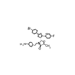 C[C@@H]1O[C@@H](c2cn(-c3ccc(Br)cc3)nc2-c2ccc(F)cn2)N(CCc2ccc(N)cc2)C1=O